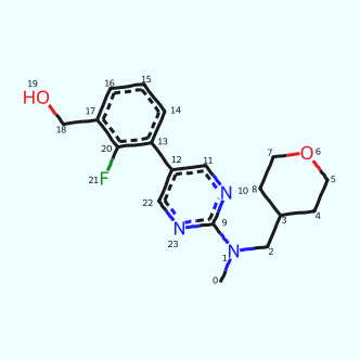 CN(CC1CCOCC1)c1ncc(-c2cccc(CO)c2F)cn1